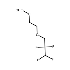 O=COCCOCC(F)(F)C(F)F